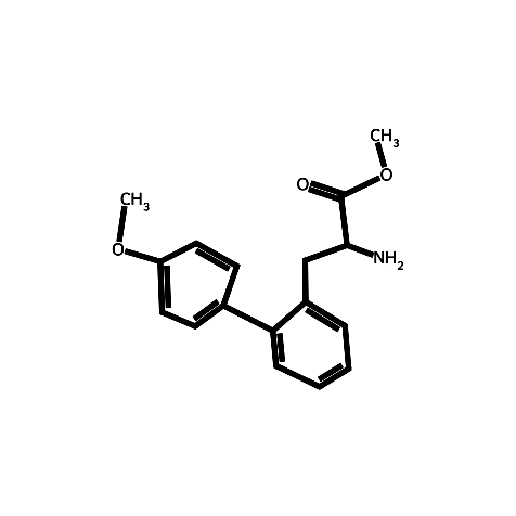 COC(=O)C(N)Cc1ccccc1-c1ccc(OC)cc1